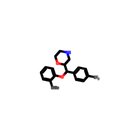 COc1ccccc1OC(c1ccc(C(F)(F)F)cc1)C1CNCCO1